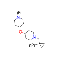 CCCC1(CN2CCC(OC3CCN(C(C)C)CC3)CC2)CC1